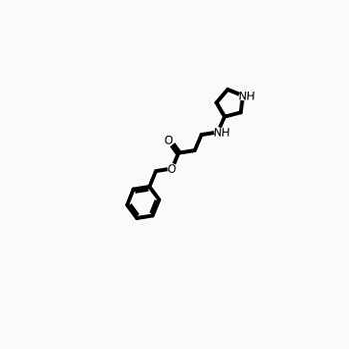 O=C(CCNC1CCNC1)OCc1ccccc1